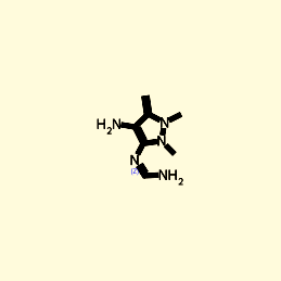 C=C1C(N)=C(/N=C\N)N(C)N1C